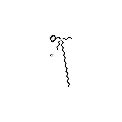 CCCCCCCCCCCCCCCCCC[N+](CCCC)(CCCC)Cc1ccccc1.[Cl-]